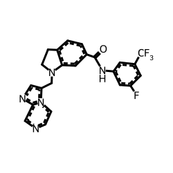 O=C(Nc1cc(F)cc(C(F)(F)F)c1)c1ccc2c(c1)N(Cc1cnc3cnccn13)CC2